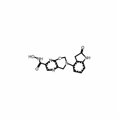 O=C1Cc2c(cccc2N2CCc3nc(C(=O)NO)cnc3C2)N1